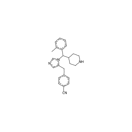 Cc1ccccc1C(C1CCNCC1)n1cncc1Cc1ccc(C#N)cc1